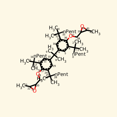 CCCCCC(C)(C)c1cc(C(C)(C)c2cc(C(C)(C)CCCCC)c(OCC3OC3C)c(C(C)(C)CCCCC)c2)cc(C(C)(C)CCCCC)c1OCC1OC1C